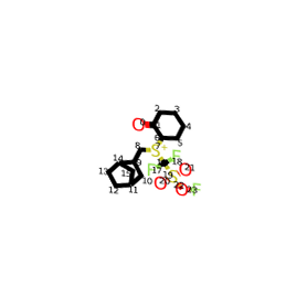 O=C1CCCCC1[S+](CC1CC2CCC1C2)C(F)(F)S(=O)(=O)OF